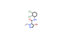 CCn1ncc(Br)c1C(=O)Nc1cccc(Cl)c1Cl